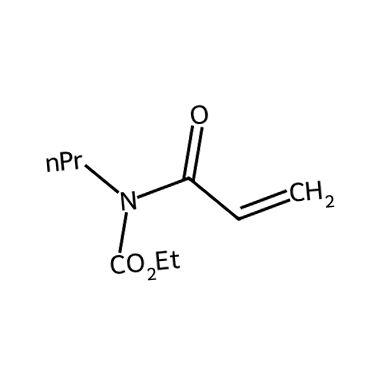 C=CC(=O)N(CCC)C(=O)OCC